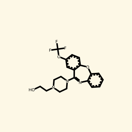 OCCN1CCN(C2=Nc3ccccc3Oc3ccc(OC(F)(F)F)cc32)CC1